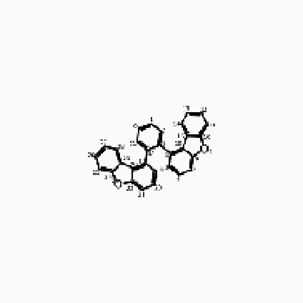 c1ccc(-c2cccc3oc4ccccc4c23)c(-c2cccc3oc4ccccc4c23)c1